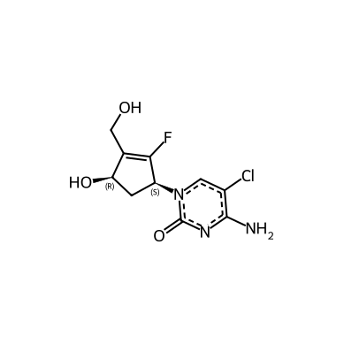 Nc1nc(=O)n([C@H]2C[C@@H](O)C(CO)=C2F)cc1Cl